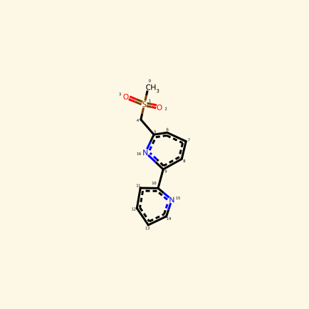 CS(=O)(=O)Cc1cccc(-c2ccccn2)n1